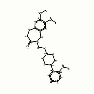 COc1cc2c(cc1OC)CN(CCN1CCN(c3ccccc3OC)CC1)C(=O)CC2